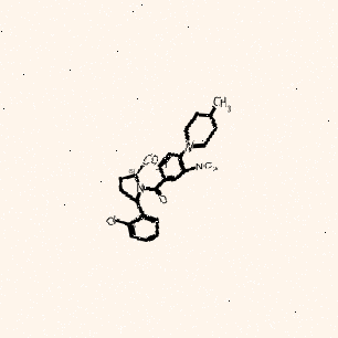 CC1CCN(c2ccc(C(=O)N3C(c4ccccc4Cl)CC[C@H]3C(=O)O)cc2[N+](=O)[O-])CC1